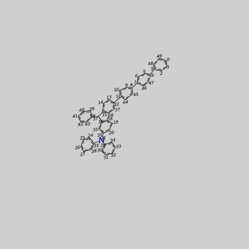 c1ccc(-c2ccc(-c3ccc(-c4ccc5c(c4)-c4ccc(N(c6ccccc6)c6ccccc6)cc4C5c4ccccc4)cc3)cc2)cc1